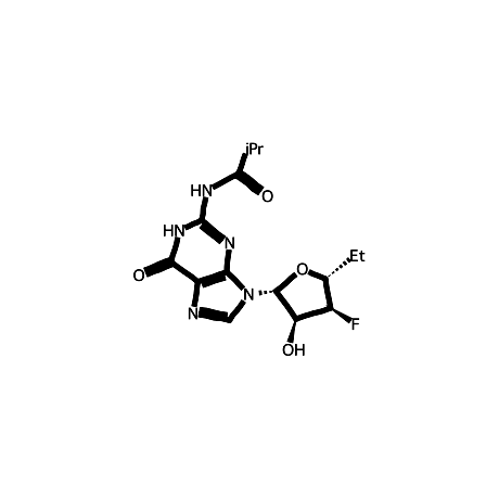 CC[C@H]1O[C@@H](n2cnc3c(=O)[nH]c(NC(=O)C(C)C)nc32)[C@H](O)[C@@H]1F